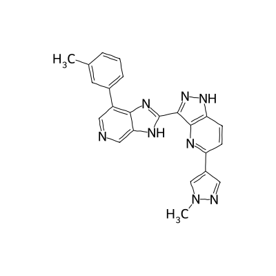 Cc1cccc(-c2cncc3[nH]c(-c4n[nH]c5ccc(-c6cnn(C)c6)nc45)nc23)c1